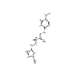 COc1ccc(CCC(=O)NCCc2cc(Cl)cs2)cc1